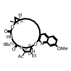 CC[C@@H]1[C@@H]2CN(C(=O)[C@H](C(C)(C)C)NC(=O)O[C@]3(C)C[C@H]3CCCCCc3cc4ccc(OC)cc4nc3O2)[C@@H]1C(C)=O